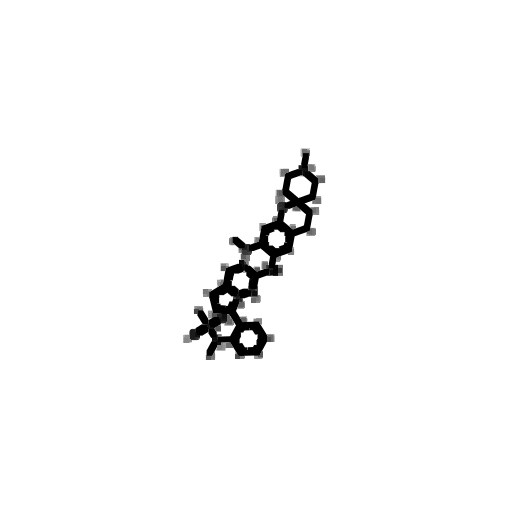 COc1cc2c(cc1Nc1ncc3ccc(-c4ccccc4N(C)S(C)(=O)=O)n3n1)CCC1(CCN(C)CC1)O2